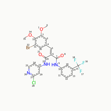 COc1cc(C=C(C(=O)Nc2cccc(C(F)(F)F)c2)C(=O)Nc2ccnc(Cl)c2)cc(Br)c1OC